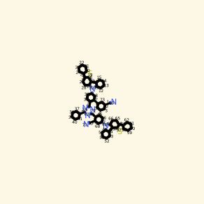 N#Cc1cccc(-c2cc(-n3c4ccccc4c4c5sc6ccccc6c5ccc43)ccc2-c2nc(-c3ccccc3)nc(-c3ccc(-n4c5ccccc5c5c6sc7ccccc7c6ccc54)cc3C#N)n2)c1